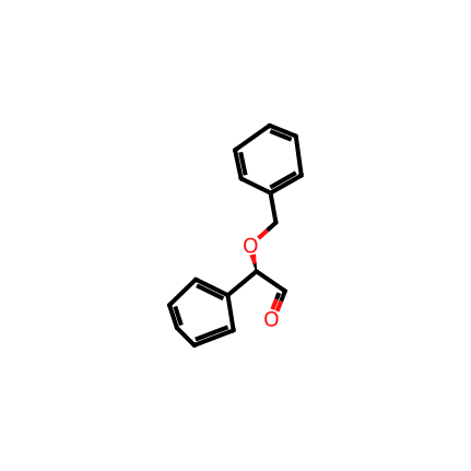 O=C[C@H](OCc1ccccc1)c1ccccc1